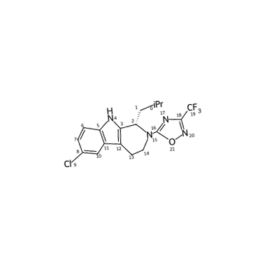 CC(C)C[C@H]1c2[nH]c3ccc(Cl)cc3c2CCN1c1nc(C(F)(F)F)no1